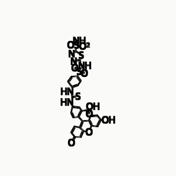 NS(=O)(=O)c1nnc(NS(=O)(=O)c2ccc(NC(=S)Nc3ccc(-c4c5ccc(=O)cc-5oc5cc(O)ccc45)c(C(=O)O)c3)cc2)s1